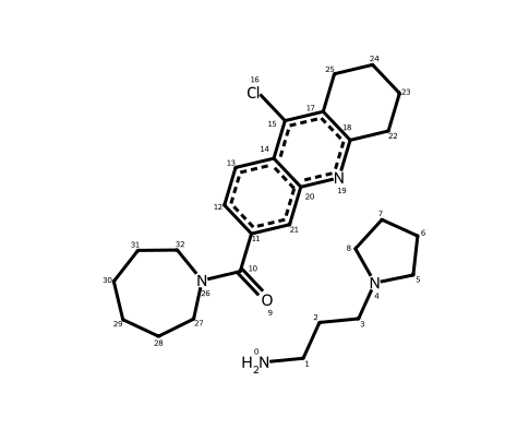 NCCCN1CCCC1.O=C(c1ccc2c(Cl)c3c(nc2c1)CCCC3)N1CCCCCC1